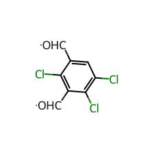 O=[C]c1cc(Cl)c(Cl)c([C]=O)c1Cl